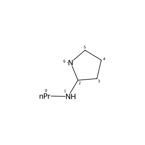 CCCNC1CCC[N]1